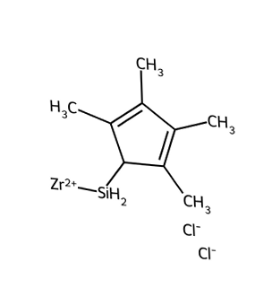 CC1=C(C)C([SiH2][Zr+2])C(C)=C1C.[Cl-].[Cl-]